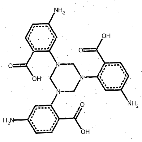 Nc1ccc(C(=O)O)c(N2CN(c3cc(N)ccc3C(=O)O)CN(c3cc(N)ccc3C(=O)O)C2)c1